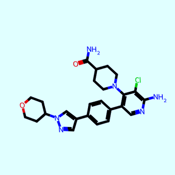 NC(=O)C1CCN(c2c(-c3ccc(-c4cnn(C5CCOCC5)c4)cc3)cnc(N)c2Cl)CC1